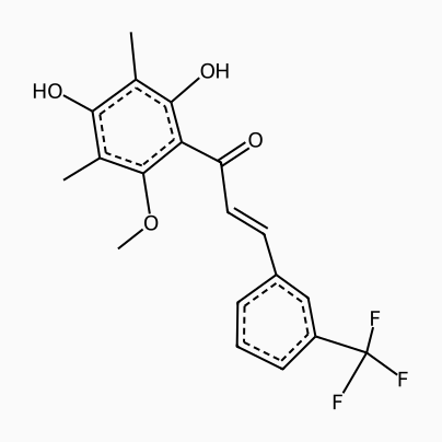 COc1c(C)c(O)c(C)c(O)c1C(=O)C=Cc1cccc(C(F)(F)F)c1